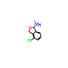 CNC1OCc2c(Cl)cccc21